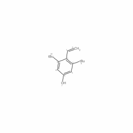 C=Cc1c(C(C)(C)C)cc(O)cc1C(C)(C)C